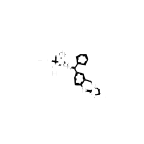 CC(C)(C)[Si](C)(C)ON=C(c1ccccc1)c1ccc2c(c1)CN1CC(=O)NC1=N2